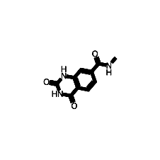 CNC(=O)c1ccc2c(=O)[nH]c(=O)[nH]c2c1